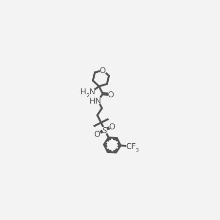 CC(C)(CCNC(=O)C1(N)CCOCC1)S(=O)(=O)c1cccc(C(F)(F)F)c1